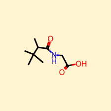 CC(C(=O)NCC(=O)O)C(C)(C)C